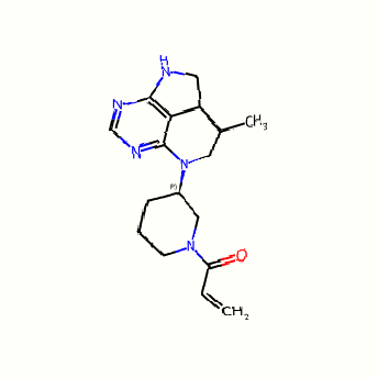 C=CC(=O)N1CCC[C@@H](N2CC(C)C3CNc4ncnc2c43)C1